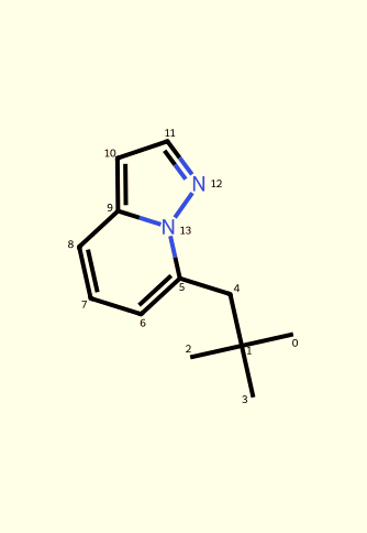 CC(C)(C)Cc1cccc2ccnn12